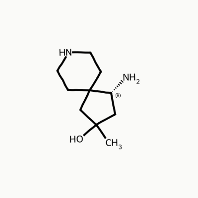 CC1(O)C[C@@H](N)C2(CCNCC2)C1